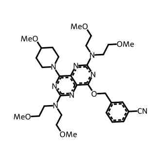 COCCN(CCOC)c1nc(N2CCC(OC)CC2)c2nc(N(CCOC)CCOC)nc(OCc3cccc(C#N)c3)c2n1